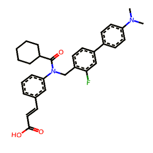 CN(C)c1ccc(-c2ccc(CN(C(=O)C3CCCCC3)c3cccc(C=CC(=O)O)c3)c(F)c2)cc1